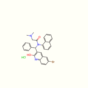 CN(C)CC(=O)N(c1cccc2ccccc12)C(c1ccccc1)c1cc2cc(Br)ccc2nc1O.Cl